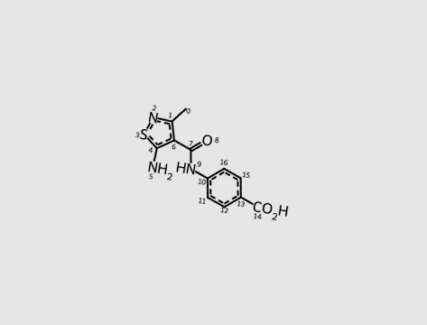 Cc1nsc(N)c1C(=O)Nc1ccc(C(=O)O)cc1